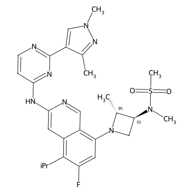 Cc1nn(C)cc1-c1nccc(Nc2cc3c(C(C)C)c(F)cc(N4C[C@H](N(C)S(C)(=O)=O)[C@H]4C)c3cn2)n1